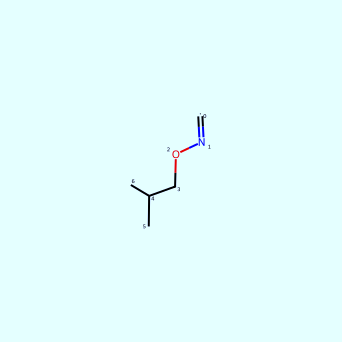 [CH]=NOCC(C)C